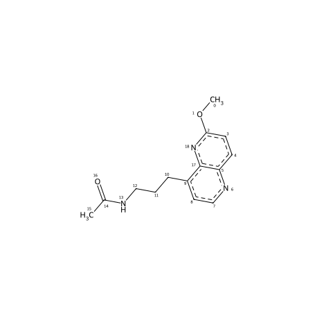 COc1ccc2nccc(CCCNC(C)=O)c2n1